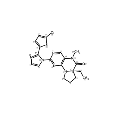 CC[C@@]12CCCN1c1nc(-n3ccnc3-c3ccc(Cl)s3)ncc1N(C)C2=O